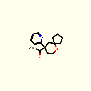 COC(=O)C1(c2ccccn2)CCOC2(CCCC2)C1